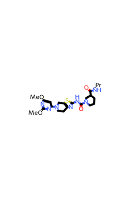 COc1cc(N2CCc3nc(NC(=O)N4CCCC(C(=O)NC(C)C)C4)sc3C2)nc(OC)n1